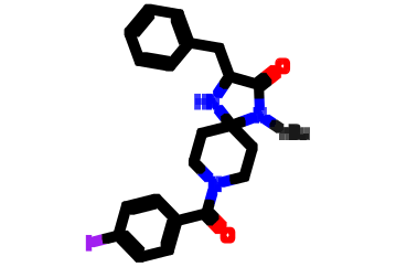 CCCCN1C(=O)C(Cc2ccccc2)NC12CCN(C(=O)c1ccc(I)cc1)CC2